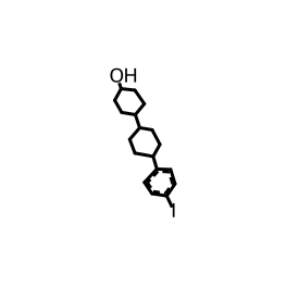 OC1CCC(C2CCC(c3ccc(I)cc3)CC2)CC1